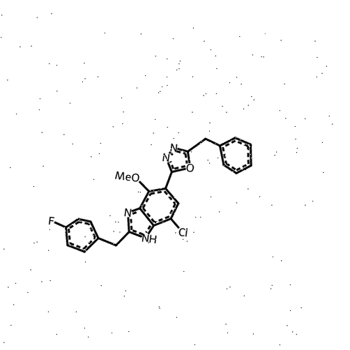 COc1c(-c2nnc(Cc3ccccc3)o2)cc(Cl)c2[nH]c(Cc3ccc(F)cc3)nc12